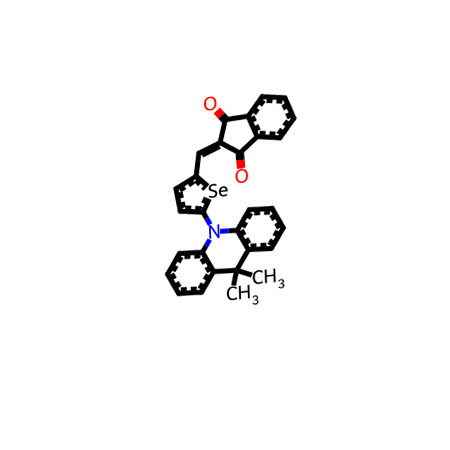 CC1(C)c2ccccc2N(c2ccc(C=C3C(=O)c4ccccc4C3=O)[se]2)c2ccccc21